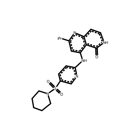 CC(C)c1cc(Nc2ccc(S(=O)(=O)N3CCCCC3)cn2)c2c(=O)[nH]ccc2n1